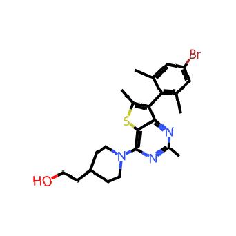 Cc1nc(N2CCC(CCO)CC2)c2sc(C)c(-c3c(C)cc(Br)cc3C)c2n1